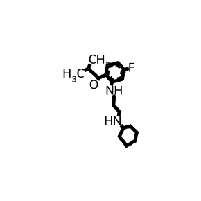 CC(C)C(=O)c1ccc(F)cc1NCCCNC1CCCCC1